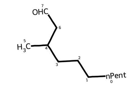 CCCCCCCCC(C)CC=O